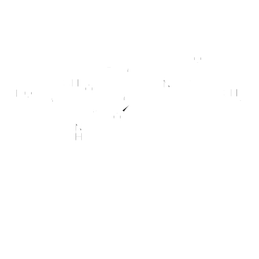 C=CC(=O)N1C[C@@H](F)[C@H](OC(=O)NC(Cc2ccccc2)B(O)O)C1